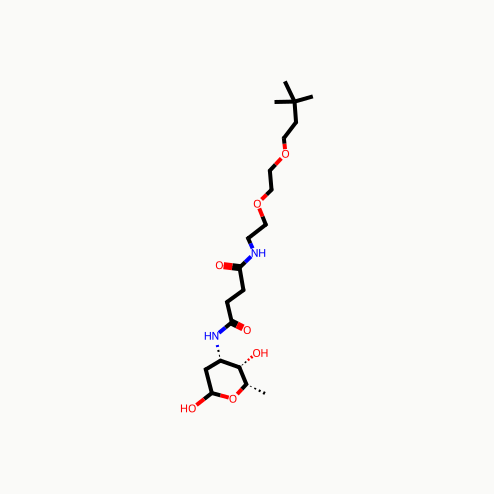 C[C@@H]1OC(O)C[C@H](NC(=O)CCC(=O)NCCOCCOCCC(C)(C)C)[C@@H]1O